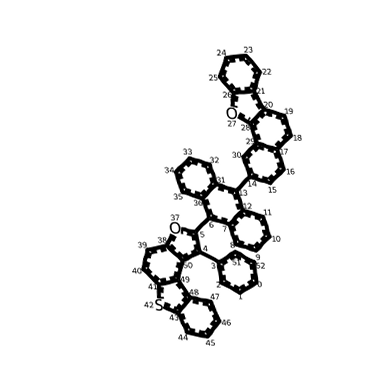 c1ccc(-c2c(-c3c4ccccc4c(-c4ccc5ccc6c7ccccc7oc6c5c4)c4ccccc34)oc3ccc4sc5ccccc5c4c23)cc1